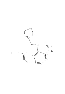 CCS(=O)(=O)c1ccccc1NCC1=NCCN1.O=C(O)C=CC(=O)O